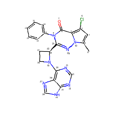 Cc1cc(Cl)c2c(=O)n(-c3ccccc3)c([C@@H]3CCN3c3ncnc4[nH]cnc34)nn12